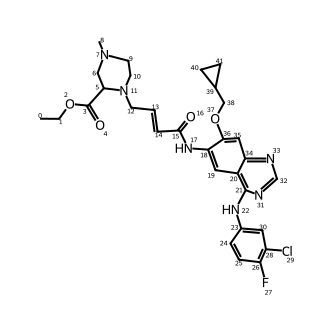 CCOC(=O)C1CN(C)CCN1CC=CC(=O)Nc1cc2c(Nc3ccc(F)c(Cl)c3)ncnc2cc1OCC1CC1